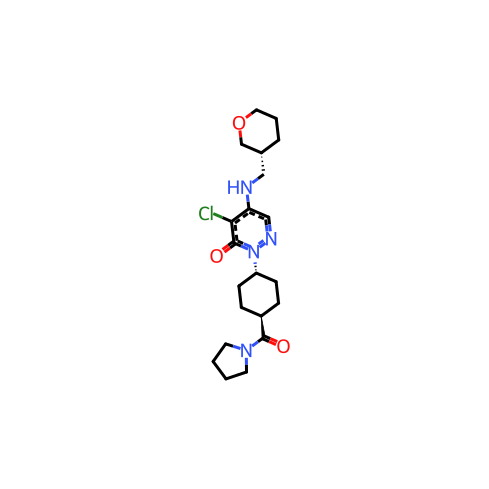 O=c1c(Cl)c(NC[C@H]2CCCOC2)cnn1[C@H]1CC[C@H](C(=O)N2CCCC2)CC1